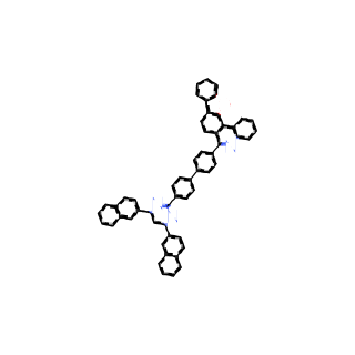 c1ccc2cc(-c3cc(-c4ccc5ccccc5c4)nc(-c4ccc(-c5ccc(-c6nc7ccccc7c7c6ccc6c8ccccc8oc67)cc5)cc4)n3)ccc2c1